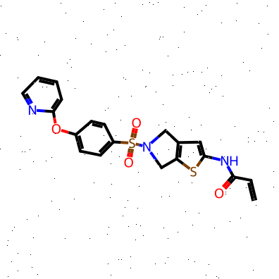 C=CC(=O)Nc1cc2c(s1)CN(S(=O)(=O)c1ccc(Oc3ccccn3)cc1)C2